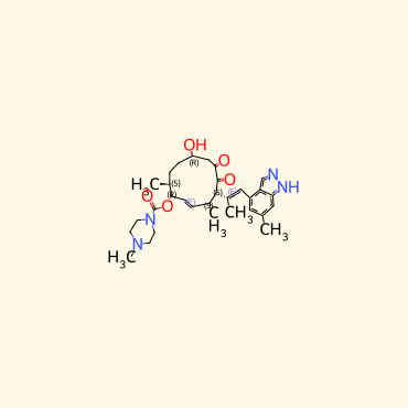 C/C(=C\c1cc(C)cc2[nH]ncc12)[C@H]1C(=O)C(=O)C[C@H](O)CC[C@H](C)[C@@H](OC(=O)N2CCN(C)CC2)/C=C/[C@@H]1C